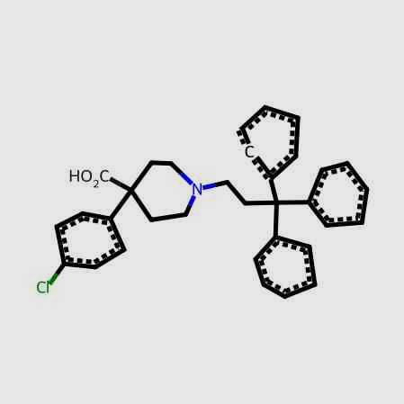 O=C(O)C1(c2ccc(Cl)cc2)CCN(CCC(c2ccccc2)(c2ccccc2)c2ccccc2)CC1